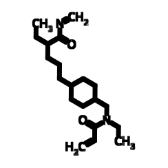 C=CC(=O)N(CC)CC1CCC(CCCC(CC)C(=O)N=C)CC1